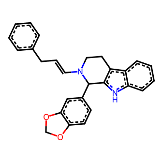 C(=C\N1CCc2c([nH]c3ccccc23)C1c1ccc2c(c1)OCO2)/Cc1ccccc1